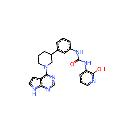 O=C(Nc1cccc(C2CCCN(c3ncnc4[nH]ccc34)C2)c1)Nc1cccnc1O